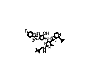 Cc1nc(NCC2CC2(C)C)nc(NC2C[C@H](CS(=O)(=O)c3ccc(F)cc3)[C@@H](O)[C@H]2O)c1-c1nc2c(C3CC3)nccc2s1